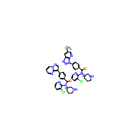 Cc1cnc2c(c1)nnn2-c1ccc(C(=O)N(c2ncccc2Cl)[C@@H]2CCCNC2)cc1.O=C(c1ccc(-c2cnn3cccnc23)cc1)N(c1ncccc1Cl)[C@@H]1CCCNC1